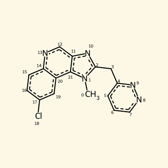 Cn1c(Cc2cccnn2)nc2cnc3ccc(Cl)cc3c21